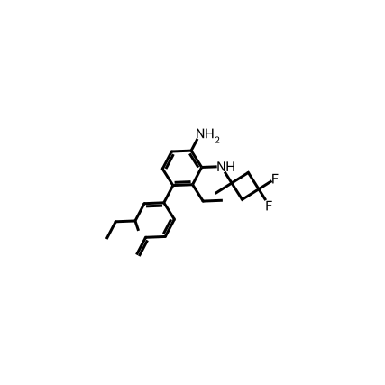 C=C/C=C\C(=C/C(C)CC)c1ccc(N)c(NC2(C)CC(F)(F)C2)c1CC